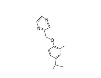 Cc1cc(C(C)C)ccc1OCc1cnccn1